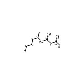 CCCCC(C)OC(=O)CC(C)=O